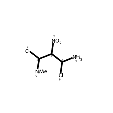 CNC(Cl)C(C(N)Cl)[N+](=O)[O-]